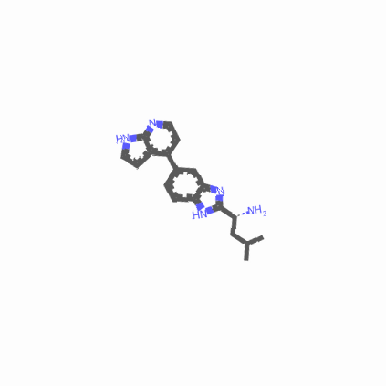 CC(C)C[C@@H](N)c1nc2cc(-c3ccnc4[nH]ccc34)ccc2[nH]1